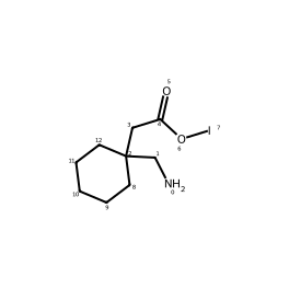 NCC1(CC(=O)OI)CCCCC1